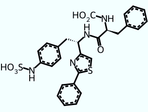 O=C(O)N[C@@H](Cc1ccccc1)C(=O)N[C@@H](Cc1ccc(NS(=O)(=O)O)cc1)c1csc(-c2ccccc2)n1